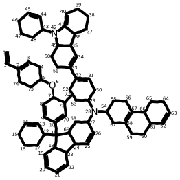 C=CC1=CCC(O[C@@H]2C=CC(C3(C4C=CCCC4)C4C=CC=CC4C4C=CC(N(C5CC=C(C6=CC7C8CCCC=C8N(C8C=CCCC8)C7CC6)CC5)C5CCC6=C(CCC7C=CCCC67)C5)CC43)=CC2C)CC1